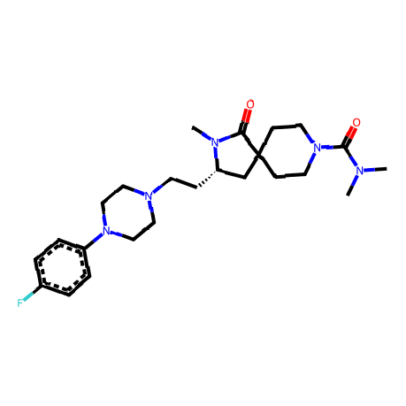 CN(C)C(=O)N1CCC2(CC1)C[C@H](CCN1CCN(c3ccc(F)cc3)CC1)N(C)C2=O